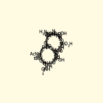 C#CCCC(=O)NCCCC[C@@H]1NC(=O)[C@@H]2CCCN2C(=O)[C@H](CC(C)(C)C)NC(=O)[C@@H](NC(C)=O)CSCCC(=O)N2CN3CN(C2)C(=O)CSC[C@H](NC(=O)[C@H](Cc2ccc(O)cc2)NC(=O)[C@@H]2CCCN2C(=O)[C@@H](C)NC1=O)C(=O)N[C@@H](Cc1ccccc1)C(=O)N[C@@H](C)C(=O)N[C@@H](CC(=O)O)C(=O)N1CCC[C@H]1C(=O)N[C@@H](Cc1ccc(O)cc1)C(=O)N[C@@H](CCCC)C(=O)N[C@H](C(=O)N[C@@H](C)C(N)=O)CSCCC3=O